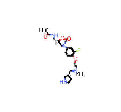 CC(=O)NC[C@H]1CN(c2ccc(OCCN(C)C[C@H]3CCNC3)c(F)c2)C(=O)O1